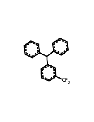 FC(F)(F)c1cccc(C(c2ccccc2)c2ccccc2)c1